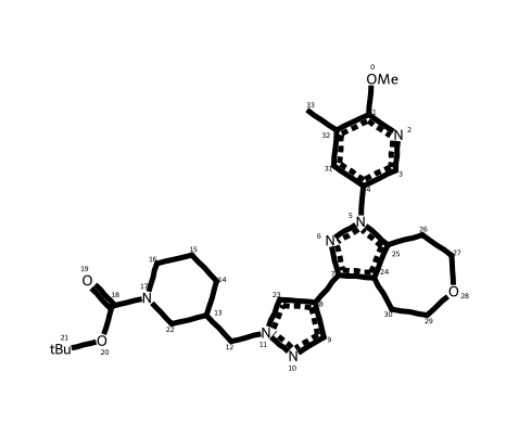 COc1ncc(-n2nc(-c3cnn(CC4CCCN(C(=O)OC(C)(C)C)C4)c3)c3c2CCOCC3)cc1C